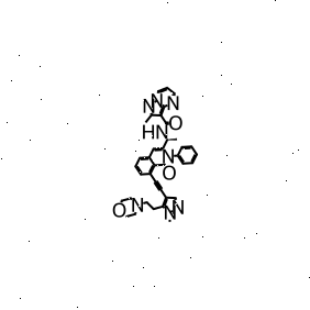 Cc1nn2cccnc2c1C(=O)N[C@@H](C)c1cc2cccc(C#Cc3cnn(C)c3CCN3CCOCC3)c2c(=O)n1-c1ccccc1